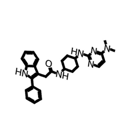 CN(C)c1ccnc(NC2CCC(NC(=O)Cc3c(-c4ccccc4)[nH]c4ccccc34)CC2)n1